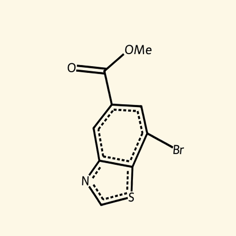 COC(=O)c1cc(Br)c2scnc2c1